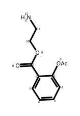 CC(=O)Oc1ccccc1C(=O)OCCN